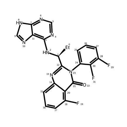 CC[C@H](Nc1ncnc2[nH]cnc12)c1nc2cccc(F)c2c(=O)n1-c1cccc(F)c1F